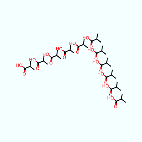 CC(C)C(=O)O.CC(C)C(=O)O.CC(C)C(=O)O.CC(C)C(=O)O.CC(C)C(=O)O.CC(C)C(=O)O.CC(C)C(=O)O.CC(C)C(=O)O.CC(C)C(=O)O.CC(C)C(=O)O.CC(C)C(=O)O